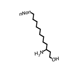 CCCCCCCCCCCCCCCCCCC(N)CCO